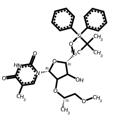 COC[C@H](C)OC1C(O)[C@@H](CO[Si](c2ccccc2)(c2ccccc2)C(C)(C)C)O[C@H]1n1cc(C)c(=O)[nH]c1=O